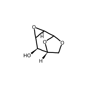 O[C@H]1C2O[C@H]2C2OC[C@H]1O2